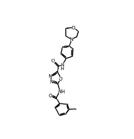 Cc1cccc(C(=O)Nc2nnc(C(=O)Nc3ccc(N4CCOCC4)cc3)o2)c1